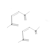 O=C([O-])/C=C\C([O-])=S.O=C([O-])/C=C\C([O-])=S.[Au+3].[Na+]